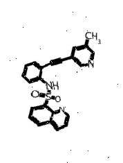 Cc1cncc(C#Cc2ccccc2NS(=O)(=O)c2cccc3cccnc23)c1